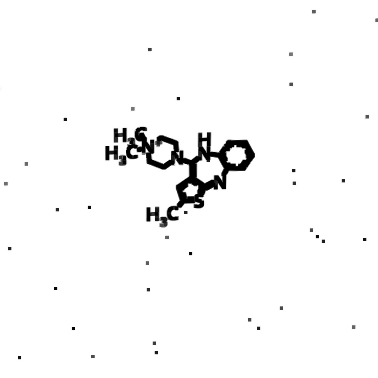 Cc1cc2c(s1)=Nc1ccccc1NC=2N1CC[N+](C)(C)CC1